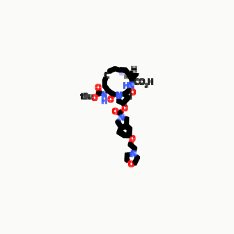 CC(C)(C)OC(=O)N[C@H]1CCCCC/C=C/[C@@H]2C[C@@]2(C(=O)O)NC(=O)[C@@H]2C[C@@H](OC(=O)N3Cc4ccc(OCCN5CCOCC5)cc4C3)CN2C1=O